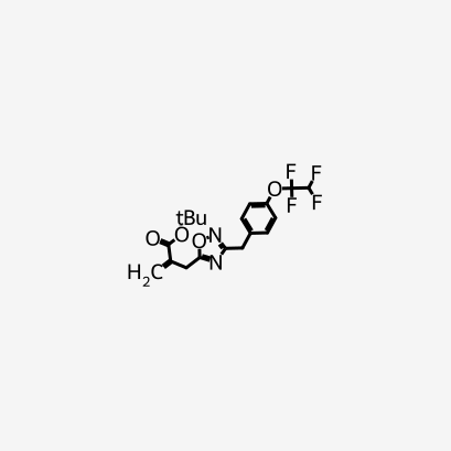 C=C(Cc1nc(Cc2ccc(OC(F)(F)C(F)F)cc2)no1)C(=O)OC(C)(C)C